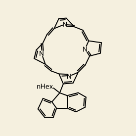 CCCCCCC1(C2=CC3=CC4=NC(=CC5=NC(=CC6=NC(=CC2=N3)C=C6)C=C5)C=C4)c2ccccc2-c2ccccc21